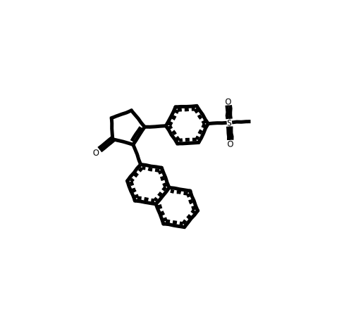 CS(=O)(=O)c1ccc(C2=C(c3ccc4ccccc4c3)C(=O)CC2)cc1